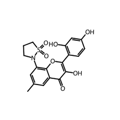 Cc1cc(N2CCCS2(=O)=O)c2oc(-c3ccc(O)cc3O)c(O)c(=O)c2c1